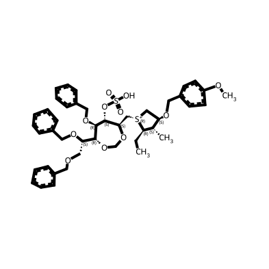 CC[C@@H]1[C@@H](C)[C@H](OCc2ccc(OC)cc2)C[S@@+]1C[C@H]1OCO[C@H]([C@H](COCc2ccccc2)OCc2ccccc2)[C@@H](OCc2ccccc2)[C@@H]1OS(=O)(=O)O